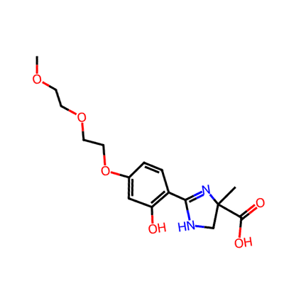 COCCOCCOc1ccc(C2=NC(C)(C(=O)O)CN2)c(O)c1